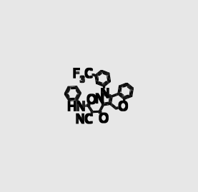 N#CC(C(=O)Nc1ccccc1)C(=O)c1nn(-c2cccc(C(F)(F)F)c2)c2c1COc1ccccc1-2